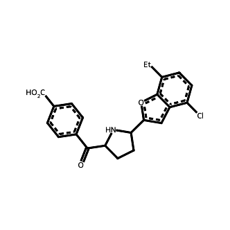 CCc1ccc(Cl)c2cc(C3CCC(C(=O)c4ccc(C(=O)O)cc4)N3)oc12